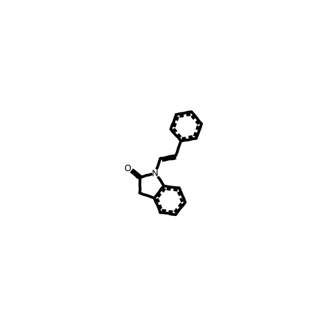 O=C1Cc2ccccc2N1C=Cc1ccccc1